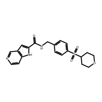 O=C(NCc1ccc(S(=O)(=O)C2CCOCC2)cc1)c1cc2cnccc2[nH]1